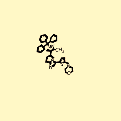 Cc1nn(C(c2ccccc2)(c2ccccc2)C2C=CC=CC2)cc1-c1ccc2ncc(-c3ccc(CN4CCOCC4)s3)n2c1